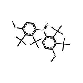 COc1ccc([P](=O)c2ccc(OC)c(C(C)(C)C)c2C(C)(C)C)c(C(C)(C)C)c1C(C)(C)C